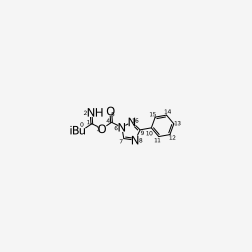 CCC(C)C(=N)OC(=O)n1cnc(-c2ccccc2)n1